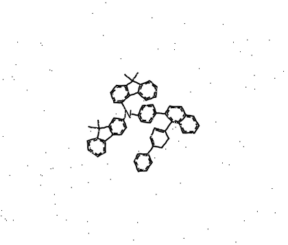 CC1(C)c2ccccc2-c2ccc(N(c3ccc(-c4ccc5ccccc5c4C4=CC=C(c5ccccc5)CC4)cc3)c3cccc4c3-c3ccccc3C4(C)C)cc21